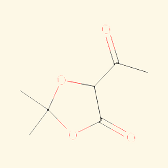 CC(=O)C1OC(C)(C)OC1=O